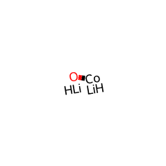 [LiH].[LiH].[O]=[Co]